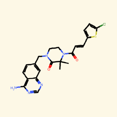 CC1(C)C(=O)N(Cc2ccc3c(N)ncnc3c2)CCN1C(=O)/C=C/c1ccc(Cl)s1